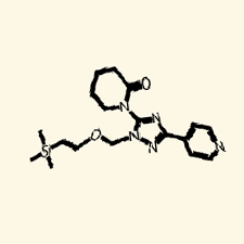 C[Si](C)(C)CCOCn1nc(-c2ccncc2)nc1N1CCCCC1=O